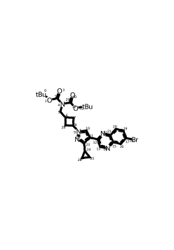 CC(C)(C)OC(=O)N(CC1CC(n2cc(-c3cnc4cc(Br)ccc4n3)c(C3CC3)n2)C1)C(=O)OC(C)(C)C